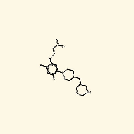 C[S+]([O-])CCOc1cc(N2CCN(CC3CCCNC3)CC2)c(F)cc1F